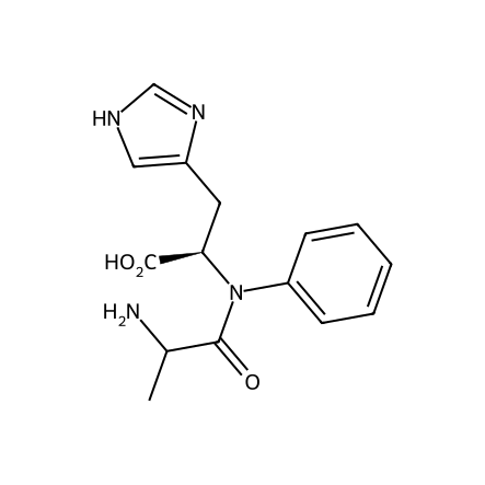 CC(N)C(=O)N(c1ccccc1)[C@H](Cc1c[nH]cn1)C(=O)O